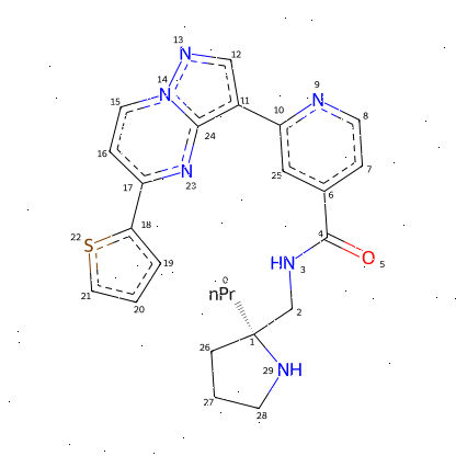 CCC[C@@]1(CNC(=O)c2ccnc(-c3cnn4ccc(-c5cccs5)nc34)c2)CCCN1